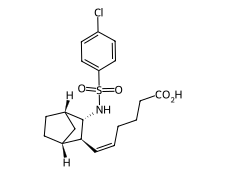 O=C(O)CCC/C=C\[C@H]1[C@@H]2CC[C@@H](C2)[C@@H]1NS(=O)(=O)c1ccc(Cl)cc1